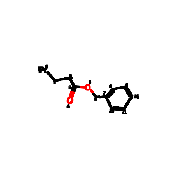 CC(C)C[CH]C(=O)OCc1ccccc1